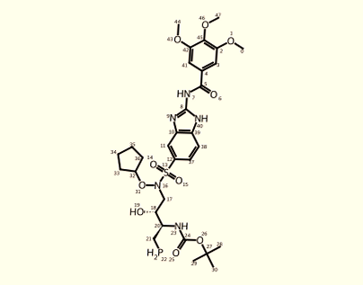 COc1cc(C(=O)Nc2nc3cc(S(=O)(=O)N(C[C@@H](O)[C@H](CP)NC(=O)OC(C)(C)C)OC4CCCC4)ccc3[nH]2)cc(OC)c1OC